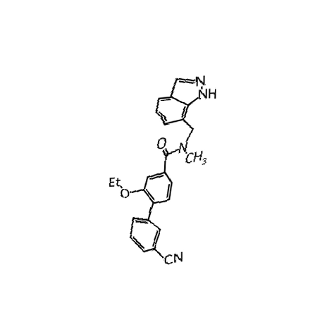 CCOc1cc(C(=O)N(C)Cc2cccc3cn[nH]c23)ccc1-c1cccc(C#N)c1